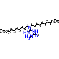 CCCCCCCCCCCCCCCCCCN(CCCCCCCCCCCCCCCCCC)C(=N)NC(=N)N